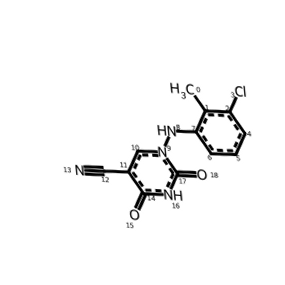 Cc1c(Cl)cccc1Nn1cc(C#N)c(=O)[nH]c1=O